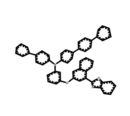 c1ccc(-c2ccc(-c3ccc(N(c4ccc(-c5ccccc5)cc4)c4cccc(Oc5cc(-c6nc7ccccc7o6)c6ccccc6c5)c4)cc3)cc2)cc1